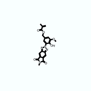 C=C(C)C(=O)OCc1cc(OC)c(O)c(-n2nc3cc4c(cc3n2)C(=O)N(C)C4=O)c1